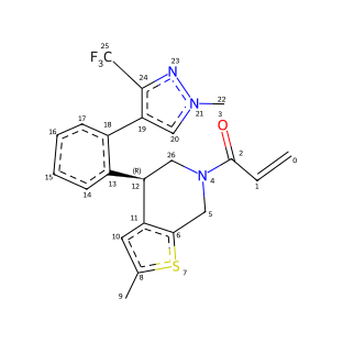 C=CC(=O)N1Cc2sc(C)cc2[C@@H](c2ccccc2-c2cn(C)nc2C(F)(F)F)C1